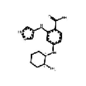 NC(=O)c1ccc(N[C@@H]2CCCC[C@@H]2N)cc1Nc1cn[nH]c1